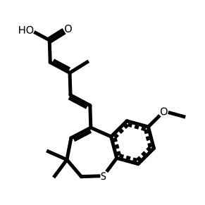 COc1ccc2c(c1)C(/C=C/C(C)=C/C(=O)O)=CC(C)(C)CS2